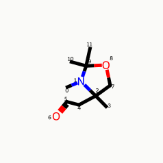 CN1C(C)(CC=O)COC1(C)C